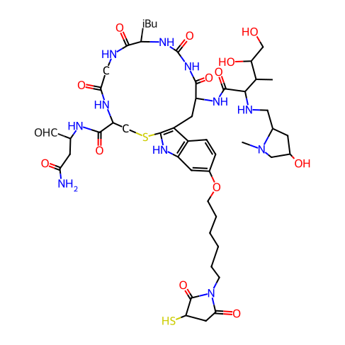 CCC(C)C1NC(=O)NC(=O)C(NC(=O)C(NCC2CC(O)CN2C)C(C)C(O)CO)Cc2c([nH]c3cc(OCCCCCCN4C(=O)CC(S)C4=O)ccc23)SCC(C(=O)NC(C=O)CC(N)=O)NC(=O)CNC1=O